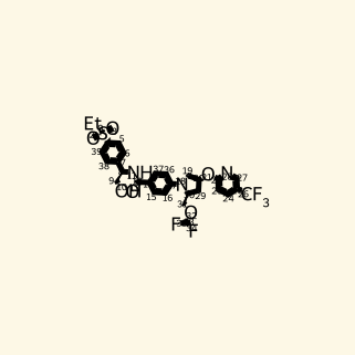 CCS(=O)(=O)c1ccc([C@H](CO)NC(=O)c2ccc(N3CC(Oc4ccc(C(F)(F)F)cn4)C[C@H]3COC(F)F)cc2)cc1